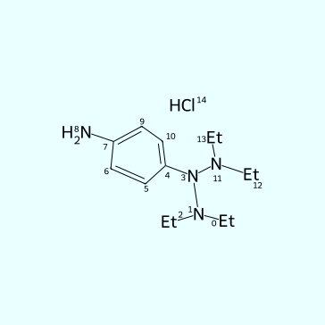 CCN(CC)N(c1ccc(N)cc1)N(CC)CC.Cl